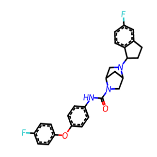 O=C(Nc1ccc(Oc2ccc(F)cc2)cc1)N1CC2CC1CN2C1CCc2cc(F)ccc21